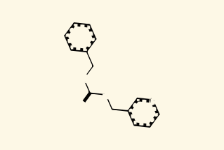 O=C(OCc1ccccc1)SCc1cccnc1